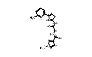 Cc1cccc(-c2csc(NC(=O)CNC(=O)c3ccn(C)c3)n2)n1